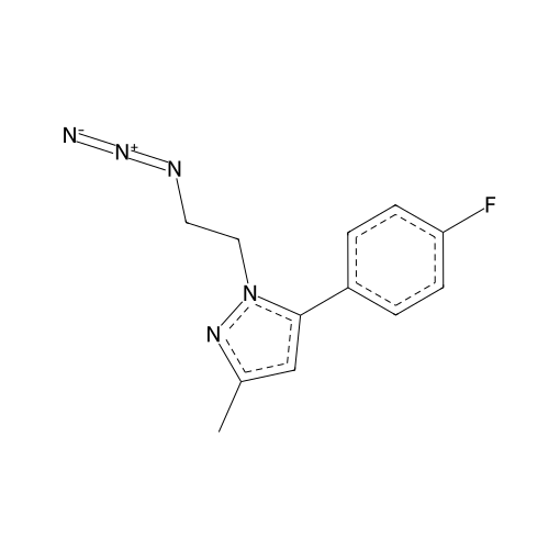 Cc1cc(-c2ccc(F)cc2)n(CCN=[N+]=[N-])n1